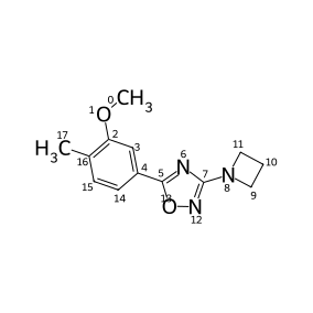 COc1cc(-c2nc(N3CCC3)no2)ccc1C